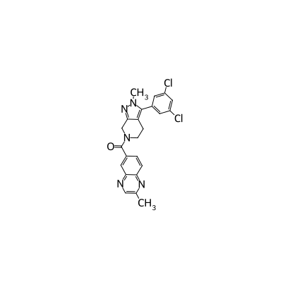 Cc1cnc2cc(C(=O)N3CCc4c(nn(C)c4-c4cc(Cl)cc(Cl)c4)C3)ccc2n1